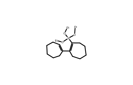 CCO[Si](OCC)(OCC)C1=C(C2=CCCCCC2)CCCCC1